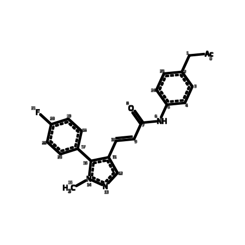 CC(=O)Cc1ccc(NC(=O)/C=C/c2cnn(C)c2-c2ccc(F)cc2)cc1